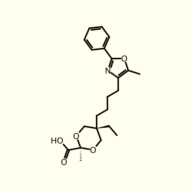 CC[C@]1(CCCCc2nc(-c3ccccc3)oc2C)CO[C@](C)(C(=O)O)OC1